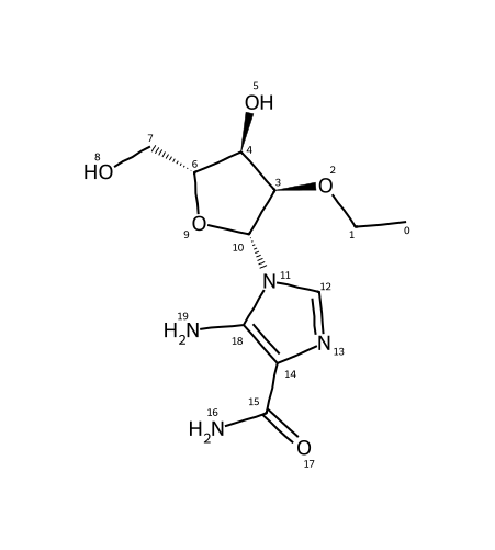 CCO[C@@H]1[C@H](O)[C@@H](CO)O[C@H]1n1cnc(C(N)=O)c1N